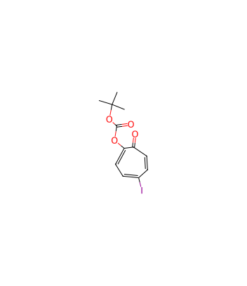 CC(C)(C)OC(=O)Oc1ccc(I)ccc1=O